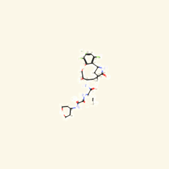 CC(C)C[C@H](NC(=O)C(=O)NC1CCOCC1)C(=O)N[C@H]1C[C@@H]2CC(NC2=O)c2c(F)cc(F)c(F)c2OCC1=O